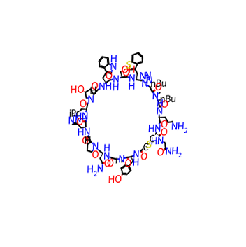 CCCC[C@H]1C(=O)N[C@@H](CCCN)C(=O)N[C@H](C(=O)NCC(N)=O)CSCC(=O)N[C@@H](Cc2ccc(O)cc2)C(=O)N(C)[C@@H](C)C(=O)N[C@@H](CC(N)=O)C(=O)N2CCC[C@H]2C(=O)N[C@@H](Cc2cnc[nH]2)C(=O)N[C@@H](CC(C)C)C(=O)N2C[C@H](O)C[C@H]2C(=O)N[C@@H](Cc2c[nH]c3ccccc23)C(=O)N[C@@H](CO)C(=O)N[C@@H](Cc2csc3ccccc23)c2nnnn2[C@@H](CCCC)C(=O)N1C